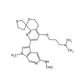 CN(C)CCCOc1cc(-c2cn(C)c3cnc(NC=O)cc23)nc2c1CCOC21CCOC1